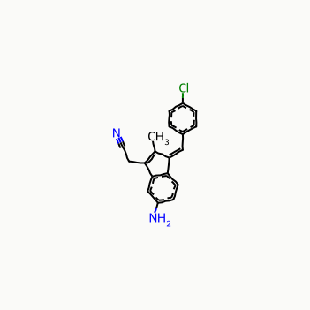 CC1=C(CC#N)c2cc(N)ccc2C1=Cc1ccc(Cl)cc1